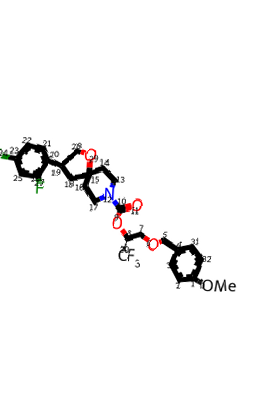 COc1ccc(COC[C@@H](OC(=O)N2CCC3(CC2)CC(c2ccc(F)cc2F)CO3)C(F)(F)F)cc1